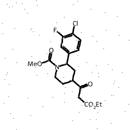 CCOC(=O)CC(=O)C1CCN(C(=O)OC)C(c2ccc(Cl)c(F)c2)C1